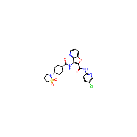 O=C(Nc1ccc(Cl)cn1)c1oc2cccnc2c1NC(=O)[C@H]1CC[C@H](N2CCCS2(=O)=O)CC1